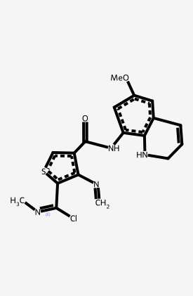 C=Nc1c(C(=O)Nc2cc(OC)cc3c2NCC=C3)csc1/C(Cl)=N\C